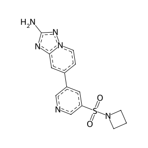 Nc1nc2cc(-c3cncc(S(=O)(=O)N4CCC4)c3)ccn2n1